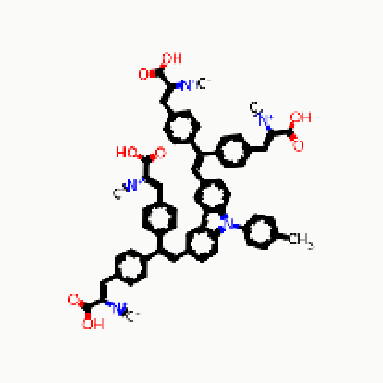 [C-]#[N+]/C(=C\c1ccc(C(=Cc2ccc3c(c2)c2cc(C=C(c4ccc(/C=C(\[N+]#[C-])C(=O)O)cc4)c4ccc(/C=C(\[N+]#[C-])C(=O)O)cc4)ccc2n3-c2ccc(C)cc2)c2ccc(/C=C(\[N+]#[C-])C(=O)O)cc2)cc1)C(=O)O